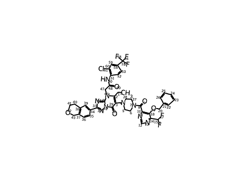 CCc1c(N2CCN(C(=O)c3ncnc(C(F)F)c3OCc3ccccc3)CC2)c(=O)n2nc(-c3ccc4c(c3)CCOC4)nc2n1CC(=O)Nc1ccc(C(F)(F)F)cc1Cl